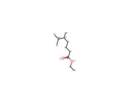 CCOC(=O)CCCC(C)C(C)C